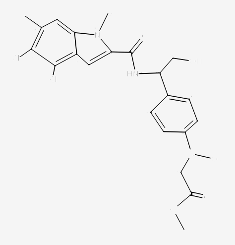 COC(=O)C[S+]([O-])c1ccc(C(CO)NC(=O)c2cc3c(Cl)c(Cl)c(C)cc3n2C)cc1